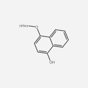 CCCCCCOc1ccc(O)c2ccccc12